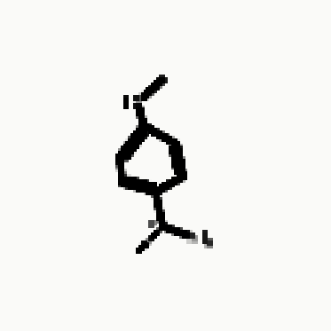 CBc1ccc([C@@H](C)N)cc1